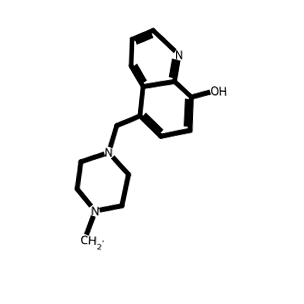 [CH2]N1CCN(Cc2ccc(O)c3ncccc23)CC1